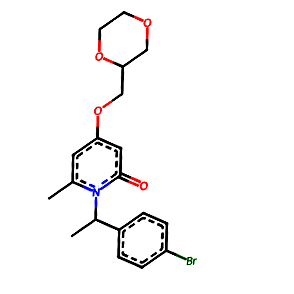 Cc1cc(OCC2COCCO2)cc(=O)n1C(C)c1ccc(Br)cc1